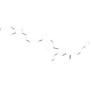 C=C/C=C(\C=C\C(=C)C/C=C\C=C\C)C(/C)=C(O)/C=C\C/C(C)=C/C/C=C\C(C)=C(\C)CC(=C)/C=C\C